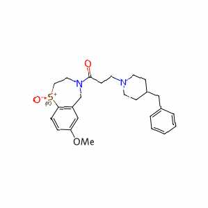 COc1ccc2c(c1)CN(C(=O)CCN1CCC(Cc3ccccc3)CC1)CC[S@+]2[O-]